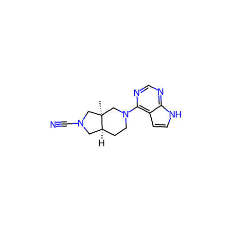 C[C@@]12CN(C#N)C[C@@H]1CCN(c1ncnc3[nH]ccc13)C2